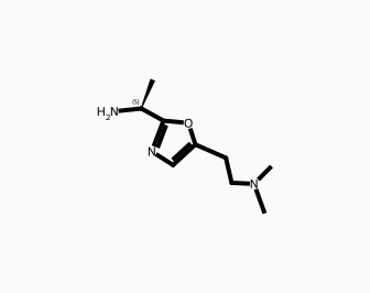 C[C@H](N)c1ncc(CCN(C)C)o1